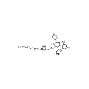 O=C(CO)C1=C(COCc2cn(CCOCCOCCO)nn2)NC(c2ccncc2)=N[C@H]1c1ccc(F)cc1Cl